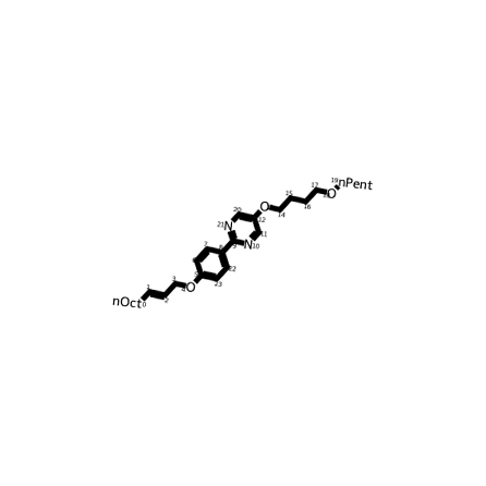 CCCCCCCC/C=C/COc1ccc(-c2ncc(OCCCCOCCCCC)cn2)cc1